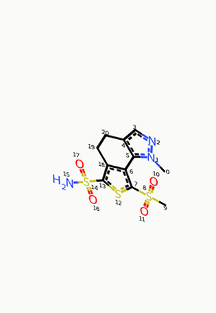 Cn1ncc2c1-c1c(S(C)(=O)=O)sc(S(N)(=O)=O)c1CC2